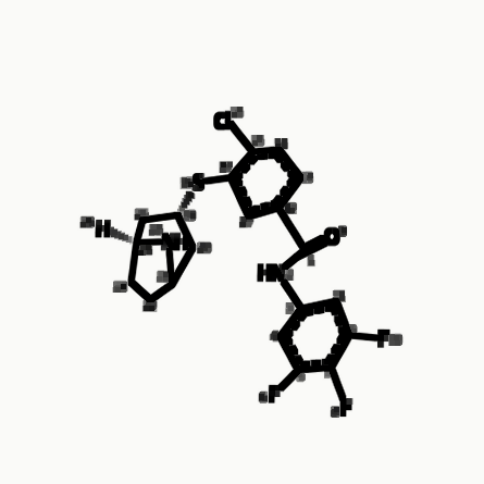 O=C(Nc1cc(F)c(F)c(F)c1)c1ccc(Cl)c(S[C@@H]2CC3CC[C@@H](C2)N3)c1